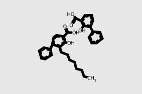 CCCCCCCCc1c(-c2ccccc2)ccc(C(=O)O)c1O.O=C(O)c1cccc(-c2ccccc2)c1O